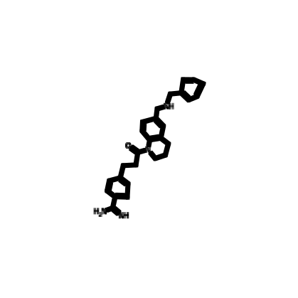 N=C(N)c1ccc(CCC(=O)N2CCCc3cc(CNCc4ccccc4)ccc32)cc1